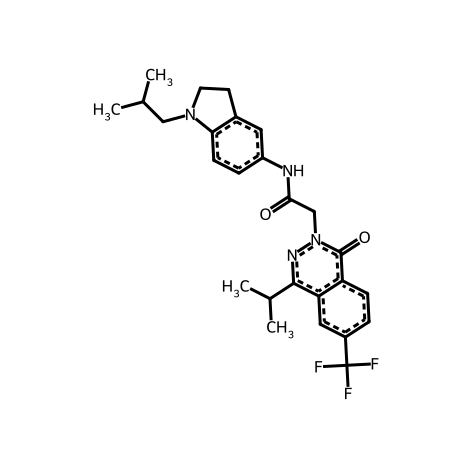 CC(C)CN1CCc2cc(NC(=O)Cn3nc(C(C)C)c4cc(C(F)(F)F)ccc4c3=O)ccc21